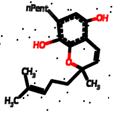 CCCCCc1cc(O)c2c(c1O)OC(C)(CCC=C(C)C)C=C2